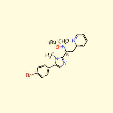 Cn1c(-c2ccc(Br)cc2)cnc1[C@H](Cc1ccccn1)N(C=O)OC(C)(C)C